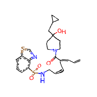 C=C/C=C(\C=C/CNS(=O)(=O)c1cccc2scnc12)C(=O)N1CCC(O)(CC2CC2)CC1